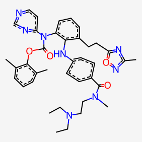 CCN(CC)CCN(C)C(=O)c1ccc(Nc2c(CCc3nc(C)no3)cccc2N(C(=O)Oc2c(C)cccc2C)c2ccncn2)cc1